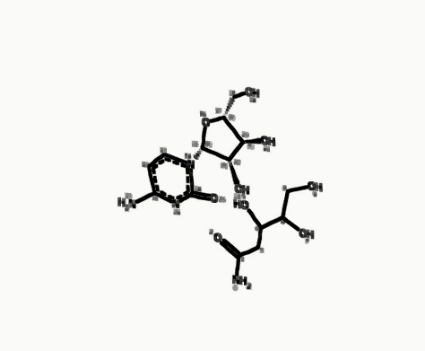 NC(=O)CC(O)C(O)CO.Nc1ccn([C@@H]2O[C@H](CO)[C@@H](O)[C@H]2O)c(=O)n1